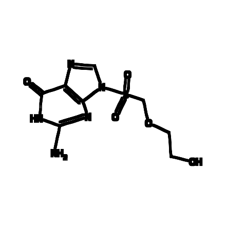 Nc1nc2c(ncn2S(=O)(=O)COCCO)c(=O)[nH]1